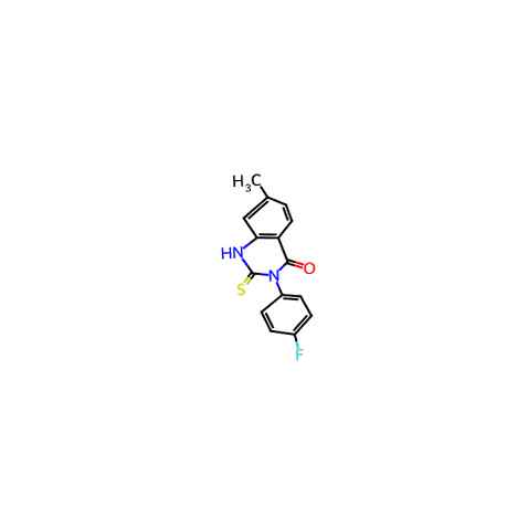 Cc1ccc2c(=O)n(-c3ccc(F)cc3)c(=S)[nH]c2c1